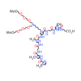 COCCOCCOCCOCCN(CCCCCn1cc(NC(=O)c2nc(NC(=O)CCNC(=O)c3cc(NC(=O)c4nccn4C)cn3C)cn2C)cc1C(=O)NCCC(=O)Nc1cn(C)c(C(=O)NCCC(=O)O)n1)CCOCCOCCOCCOC